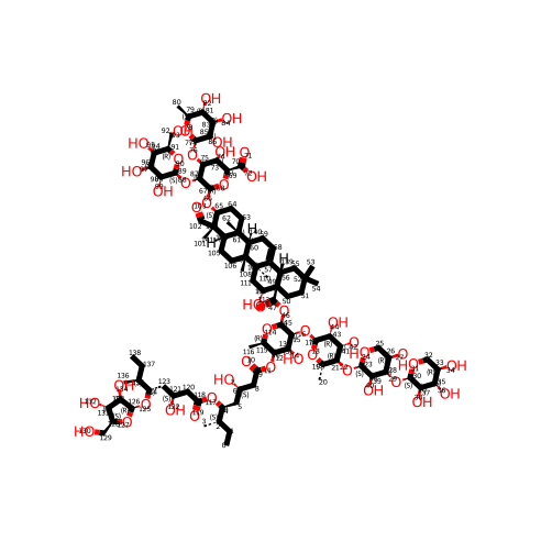 CC[C@H](C)[C@H](C[C@H](O)CC(=O)O[C@@H]1[C@H](O)[C@@H](O[C@@H]2O[C@@H](C)[C@H](O[C@@H]3OC[C@@H](O)[C@H](O[C@@H]4OC[C@@H](O)[C@H](O)[C@H]4O)[C@H]3O)[C@@H](O)[C@H]2O)[C@H](OC(=O)[C@]23CCC(C)(C)C[C@H]2C2=CC[C@@H]4[C@@]5(C)CC[C@H](O[C@@H]6O[C@H](C(=O)O)[C@@H](O)[C@H](O[C@@H]7O[C@@H](C)[C@H](O)[C@@H](O)[C@H]7O)[C@H]6O[C@@H]6O[C@H](CO)[C@H](O)[C@H](O)[C@H]6O)[C@@](C)(C=O)[C@@H]5CC[C@@]4(C)[C@]2(C)C[C@H]3O)O[C@@H]1C)OC(=O)C[C@@H](O)C[C@H](O[C@@H]1O[C@@H](CO)[C@H](O)[C@H]1O)[C@@H](C)CC